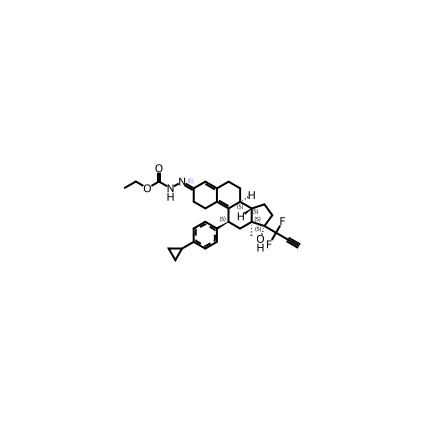 C#CC(F)(F)[C@]1(O)CC[C@H]2[C@@H]3CCC4=C/C(=N/NC(=O)OCC)CCC4=C3[C@H](c3ccc(C4CC4)cc3)C[C@@]21C